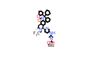 C[C@@H]1Cc2c(ccc3c2oc(=O)n3C(c2ccccc2)(c2ccccc2)c2ccccc2)[C@@H](c2ccc(NC3CN(C(=O)OC(C)(C)C)C3)cn2)N1CC(F)(F)F